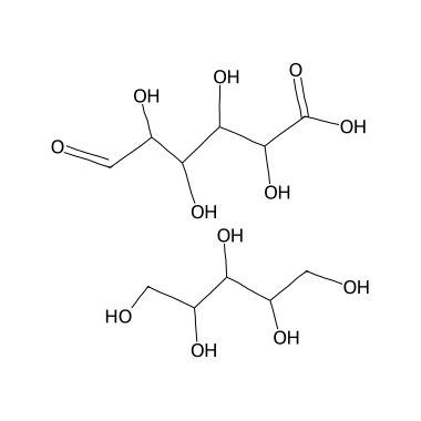 O=CC(O)C(O)C(O)C(O)C(=O)O.OCC(O)C(O)C(O)CO